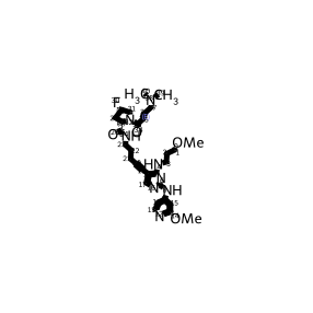 COCCCNc1nc(Nc2ccnc(OC)c2)ncc1C#CCCCNC(=O)[C@@H]1C[C@H](F)CN1C(=O)/C=C/CN(C)C